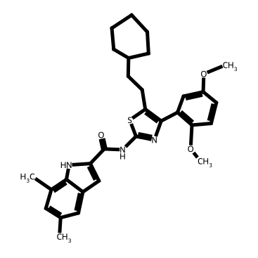 COc1ccc(OC)c(-c2nc(NC(=O)c3cc4cc(C)cc(C)c4[nH]3)sc2CCC2CCCCC2)c1